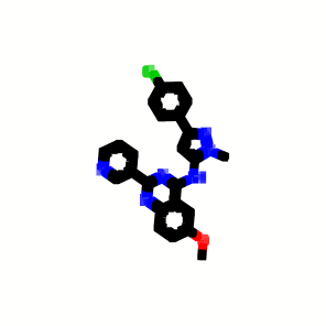 COc1ccc2nc(-c3cccnc3)nc(Nc3cc(-c4ccc(Cl)cc4)nn3C)c2c1